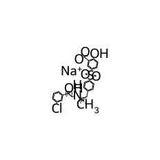 C[C@H](Cc1ccc(S(=O)(=O)c2ccc(O)c(C(=O)[O-])c2)cc1)NC[C@H](O)c1cccc(Cl)c1.[Na+]